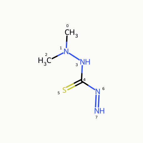 CN(C)NC(=S)N=N